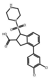 O=C(O)C1Cc2c(-c3ccc(Cl)c(Cl)c3)cccc2C1S(=O)(=O)N1CCNCC1